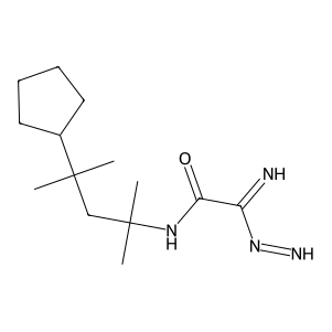 CC(C)(CC(C)(C)C1CCCC1)NC(=O)C(=N)N=N